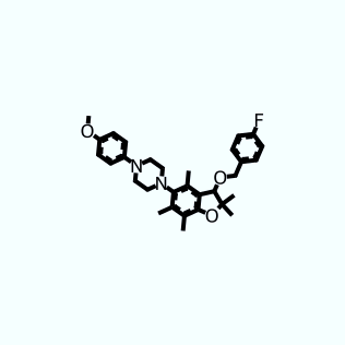 COc1ccc(N2CCN(c3c(C)c(C)c4c(c3C)C(OCc3ccc(F)cc3)C(C)(C)O4)CC2)cc1